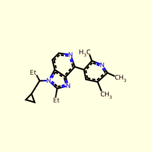 CCc1nc2c(-c3cc(C)c(C)nc3C)nccc2n1C(CC)C1CC1